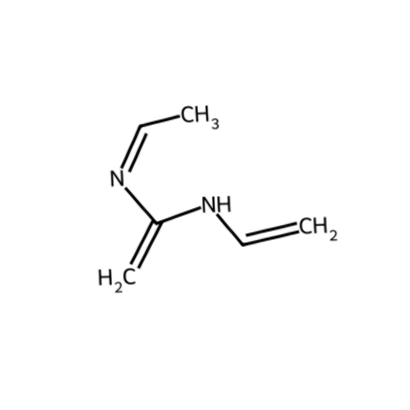 C=CNC(=C)/N=C\C